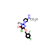 CC(C)n1c(N2CC[C@@H](NC(=O)O)C2)nc(OCc2ccc(F)cc2F)c(Br)c1=O